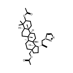 C=C(Cn1ccnn1)[C@@H]1CC[C@]2(COC(C)=O)CC[C@]3(C)[C@H](CC[C@@H]4[C@@]5(C)CCC(OC(C)=O)C(C)(C)[C@@H]5CC[C@]43C)[C@@H]12